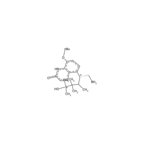 BC[C@@H](c1ccc(OCCCC)c2[nH]c(=O)ccc12)C(C)C(C)(C)[Si](C)(C)O